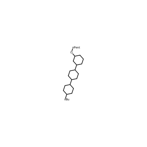 CCCCCOC1CCCC(C2CCC(C3CCC(CCCC)CC3)CC2)C1